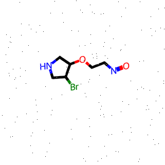 O=NCCOC1CNCC1Br